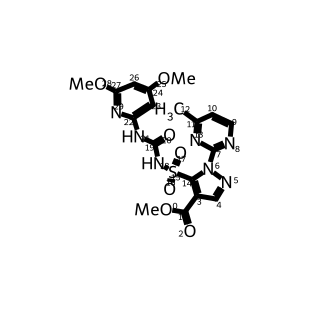 COC(=O)c1cnn(-c2nccc(C)n2)c1S(=O)(=O)NC(=O)Nc1cc(OC)cc(OC)n1